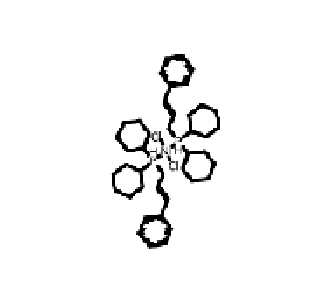 [Cl][Ni]([Cl])([PH](C/C=C/c1ccccc1)(C1CCCCC1)C1CCCCC1)[PH](C/C=C/c1ccccc1)(C1CCCCC1)C1CCCCC1